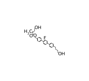 C=C(CCO)C(=O)OCc1ccc(-c2ccc(-c3ccc(CCCCO)cc3)cc2F)cc1